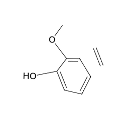 C=C.COc1ccccc1O